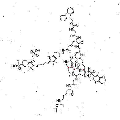 Cc1c(C)c(S(=O)(=O)NC(=N)NCCCC(NC(=O)CNC(=O)C(CSCC(=O)NCc2ccc3c(c2)C(C)(C)/C(=C/C=C/C=C/C2=[N+](CCS(=O)(=O)O)c4ccc(S(=O)(=O)O)cc4C2(C)C)N3C)NC(=O)CNC(=O)OCC2c3ccccc3-c3ccccc32)C(=O)NC(C(=O)NCC(=O)NC(CC(C)C)C(=O)N2CCCC2C(=O)NCC(=O)NC(C=O)CCCCNC(=O)OC(C)(C)C)C(C)C)c(C)c2c1CC(C)(C)CO2